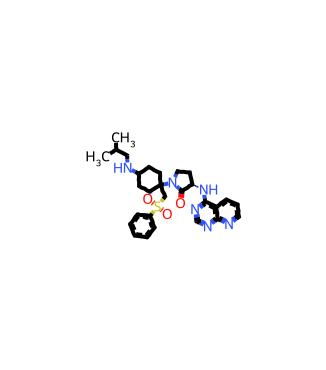 CC(C)CNC1CCC(CS(=O)(=O)c2ccccc2)(N2CC[C@H](Nc3ncnc4ncccc34)C2=O)CC1